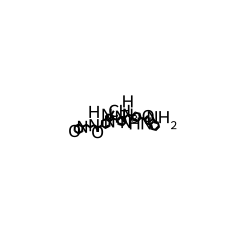 Cc1nc2cc(C(=O)NCCN3CCOCC3)ccn2c1-c1ccnc(Nc2ccc(C(=O)Nc3ccccc3N)cc2)n1